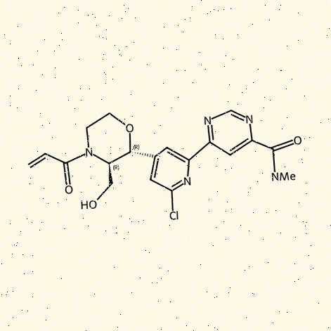 C=CC(=O)N1CCO[C@H](c2cc(Cl)nc(-c3cc(C(=O)NC)ncn3)c2)[C@H]1CO